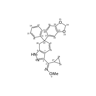 CO/N=C(/c1n[nH]c2c1C=CC(c1ccccc1)(c1ccc3c(c1)OCO3)C2)C1CC1